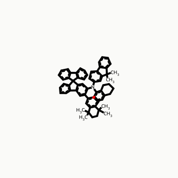 CC1(C)CCC(C)(C)c2cc(-c3cc4c(cc3N(c3ccc5c(c3)C(C)(C)c3ccccc3-5)c3cccc5c3CCCC5)C3(c5ccccc5-c5ccccc53)c3ccccc3-4)ccc21